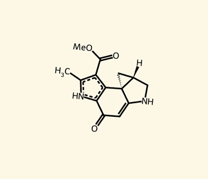 COC(=O)c1c(C)[nH]c2c1[C@@]13C[C@@H]1CNC3=CC2=O